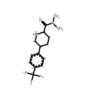 CN(C)C(=O)C1CCC(c2ccc(C(F)(F)F)cc2)CN1